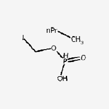 CCCC.O=[PH](O)OCI